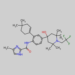 Cc1c[nH]c(C(=O)Nc2ccc(C3(O)CC(C)(C)N(CC(F)(F)F)C(C)(C)C3)cc2C2=CCC(C)(C)CC2)n1